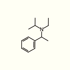 CCN(C(C)C)C(C)c1ccccc1